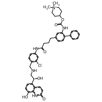 C[N+]1(C)CCC(OC(=O)Nc2cc(CCCC(=O)Nc3ccc(CNC[C@@H](O)c4ccc(O)c5[nH]c(=O)ccc45)c(Cl)c3)ccc2-c2ccccc2)CC1